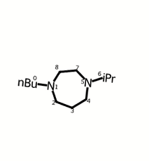 CCCCN1CCCN(C(C)C)CC1